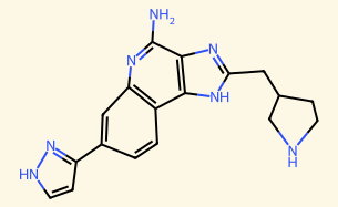 Nc1nc2cc(-c3cc[nH]n3)ccc2c2[nH]c(CC3CCNC3)nc12